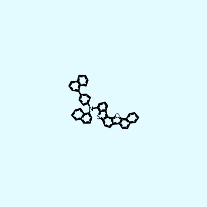 c1ccc2c(-c3ccc(N(c4cccc5ccccc45)c4cccc5c4sc4ccc6c7ccc8ccccc8c7oc6c45)cc3)cccc2c1